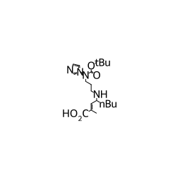 CCCCC(C=C(C)C(=O)O)NCCCN(C(=O)OC(C)(C)C)n1ccnc1